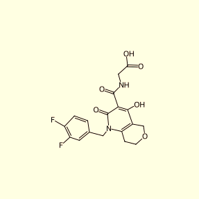 O=C(O)CNC(=O)c1c(O)c2c(n(Cc3ccc(F)c(F)c3)c1=O)CCOC2